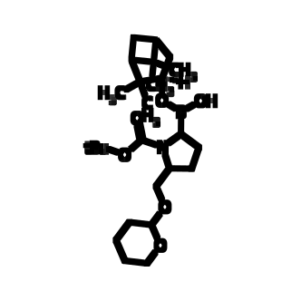 CC(C)(C)OC(=O)N1C(COC2CCCCO2)CCC1B(O)O[C@@H]1CC2CC(C2(C)C)C1(C)C